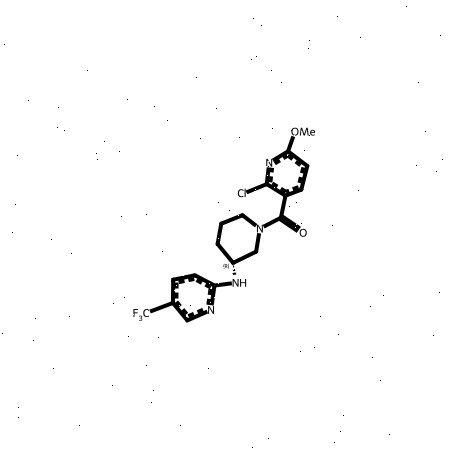 COc1ccc(C(=O)N2CCC[C@@H](Nc3ccc(C(F)(F)F)cn3)C2)c(Cl)n1